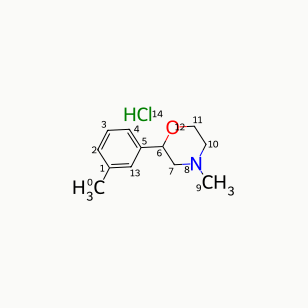 Cc1cccc(C2CN(C)CCO2)c1.Cl